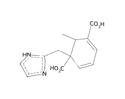 CC1C(C(=O)O)=CC=CC1(Cc1ncc[nH]1)C(=O)O